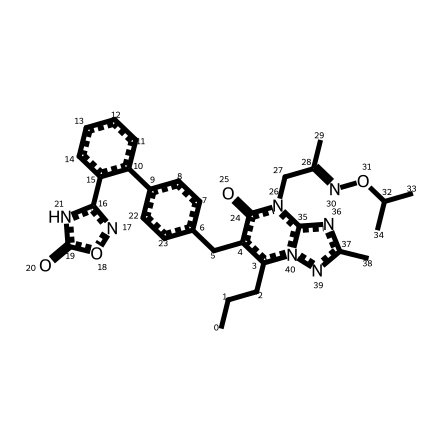 CCCc1c(Cc2ccc(-c3ccccc3-c3noc(=O)[nH]3)cc2)c(=O)n(CC(C)=NOC(C)C)c2nc(C)nn12